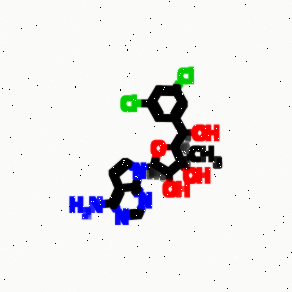 C[C@@]1(O)[C@@H]([C@H](O)c2cc(Cl)cc(Cl)c2)O[C@@H](n2ccc3c(N)ncnc32)[C@@H]1O